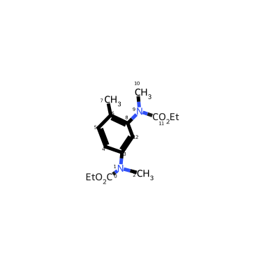 CCOC(=O)N(C)c1ccc(C)c(N(C)C(=O)OCC)c1